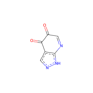 O=C1C=Nc2[nH]ncc2C1=O